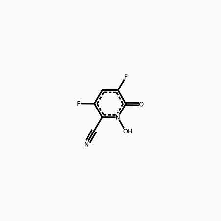 N#Cc1c(F)cc(F)c(=O)n1O